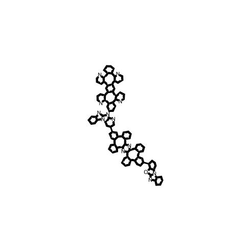 c1ccc2c(c1)nc1oc3c(-c4ccc5c(c4)c4ccccc4c4nc6c7ccccc7c7cc(-c8cnc9c(c8)n8c%10ccccc%10nc8n9-c8ccc9c(c8)c8ncccc8c8cc%10c(cc8c8cccnc89)c8cccnc8c8ccccc8c8ncccc%108)ccc7c7ccccc7c6nc4c4ccccc54)cccc3n12